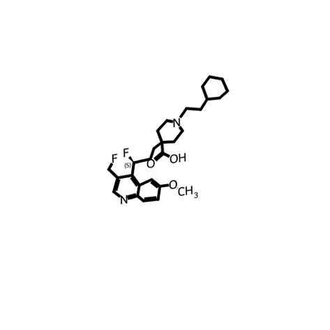 COc1ccc2ncc(CF)c([C@@H](F)CCC3(C(=O)O)CCN(CCC4CCCCC4)CC3)c2c1